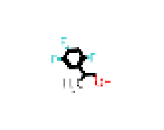 CC(CO)c1cc(F)c(F)cc1F